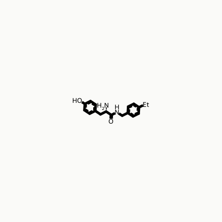 CCc1ccc(CNC(=O)[C@@H](N)Cc2ccc(O)cc2)cc1